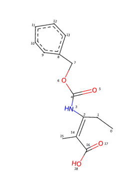 CC/C(NC(=O)OCc1ccccc1)=C(/C)C(=O)O